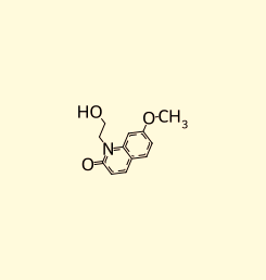 COc1ccc2ccc(=O)n(CCO)c2c1